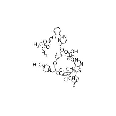 Cc1c(Cl)c2c(Cl)c(C)c1-c1c(-c3ccc(F)cc3)sc3ncnc(c13)O[C@@H](C(=O)O)Cc1cc(ccc1OCc1ccnc(-c3ccccc3OC[C@H]3COC(C)(C)O3)n1)OCC(CN1CCN(C)CC1)O2